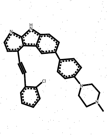 CN1CCN(c2ccc(-c3ccc4[nH]c5nccc(C#Cc6ccccc6Cl)c5c4c3)cc2)CC1